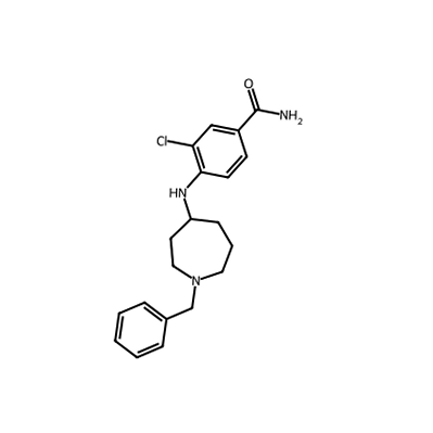 NC(=O)c1ccc(NC2CCCN(Cc3ccccc3)CC2)c(Cl)c1